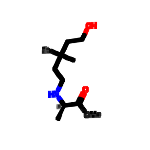 CCC(C)(CCO)CCN[C@H](C)C(=O)OC